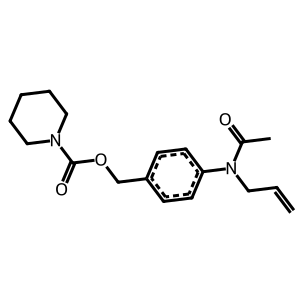 C=CCN(C(C)=O)c1ccc(COC(=O)N2CCCCC2)cc1